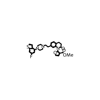 COC(=O)c1ccoc1N1C(=O)CCc2ccc(CCN3CCN(c4cc(F)cc5sccc45)CC3)cc21